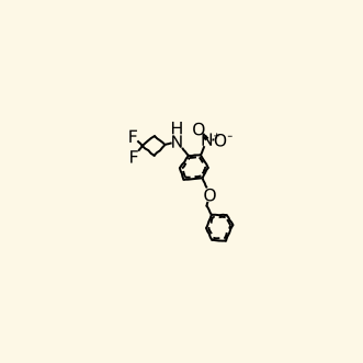 O=[N+]([O-])c1cc(OCc2ccccc2)ccc1NC1CC(F)(F)C1